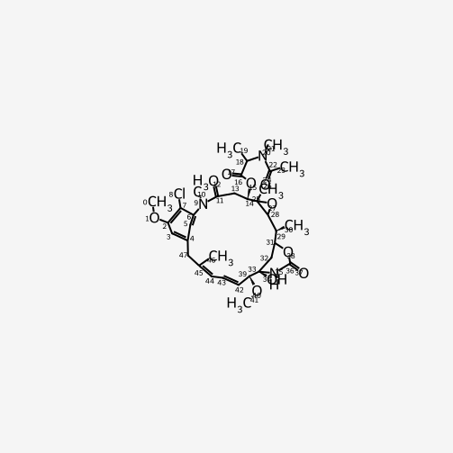 COc1cc2cc(c1Cl)N(C)C(=O)C[C@@H](OC(=O)C(C)N(C)C(C)=O)C1(C)OC1[C@@H](C)C1C[C@](O)(NC(=O)O1)[C@@H](OC)/C=C/C=C(\C)C2